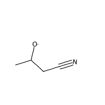 CC([O])CC#N